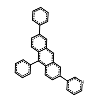 c1ccc(-c2ccc3c(-c4ccccc4)c4ccc(-c5cccnc5)cc4cc3c2)cc1